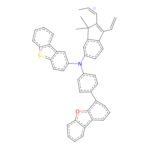 C=CC1=C(/C=C\C)C(C)(C)c2cc(N(c3ccc(-c4cccc5c4oc4ccccc45)cc3)c3ccc4sc5ccccc5c4c3)ccc21